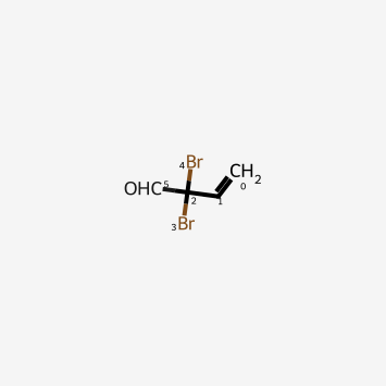 C=CC(Br)(Br)C=O